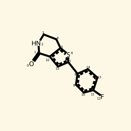 O=C1NCCc2sc(-c3ccc(F)cc3)cc21